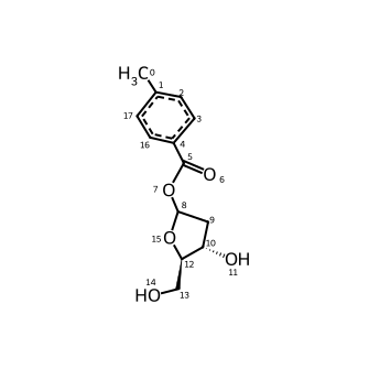 Cc1ccc(C(=O)OC2C[C@H](O)[C@@H](CO)O2)cc1